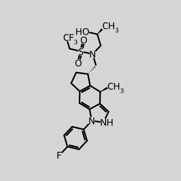 C[C@H]1C2=CNN(c3ccc(F)cc3)C2=CC2=C1[C@@H](CN(C[C@H](C)O)S(=O)(=O)CC(F)(F)F)CC2